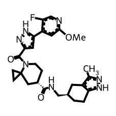 COc1cc(-c2cc(C(=O)N3CC[C@H](C(=O)NC[C@@H]4CCc5[nH]nc(C)c5C4)CC34CC4)n[nH]2)c(F)cn1